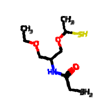 BCC(=O)NC(COCC)COC(C)S